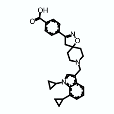 O=C(O)c1ccc(C2=NOC3(CCN(Cc4cn(C5CC5)c5c(C6CC6)cccc45)CC3)C2)cc1